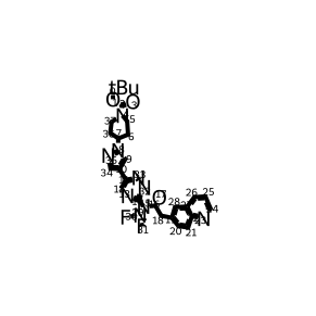 CC(C)(C)OC(=O)N1CCC(n2cc(-c3cnc(N(C(=O)Cc4ccc5ncccc5c4)N(F)F)nn3)cn2)CC1